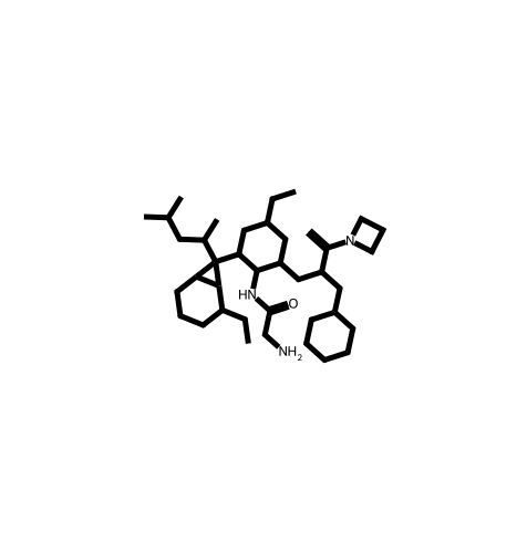 C=C(C(CC1CCCCC1)CC1CC(CC)CC(C2(C(C)CC(C)C)C3CCCC(CC)C32)C1NC(=O)CN)N1CCC1